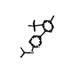 Cc1ccc(-c2ccc(NC(C)C)nc2)c(C(C)(C)C)c1